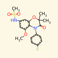 COc1cc(NS(C)(=O)=O)cc2c1N(c1ccc(F)cc1)C(=O)C(C)(C)O2